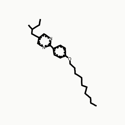 CCCCCCCCCCOc1ccc(-c2ncc(CC(C)CC)cn2)cc1